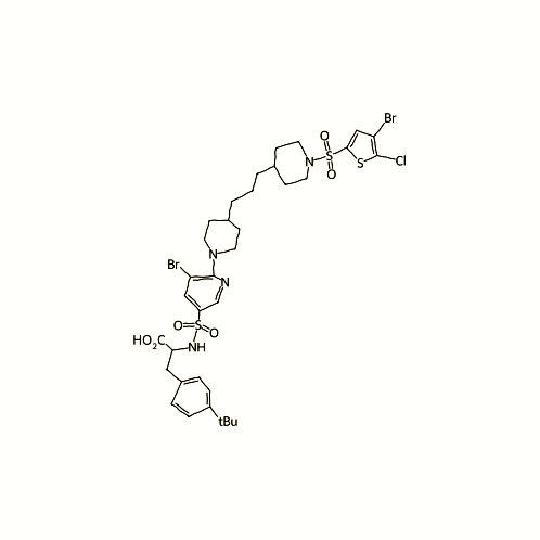 CC(C)(C)c1ccc(CC(NS(=O)(=O)c2cnc(N3CCC(CCCC4CCN(S(=O)(=O)c5cc(Br)c(Cl)s5)CC4)CC3)c(Br)c2)C(=O)O)cc1